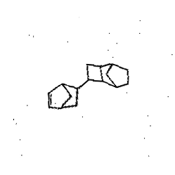 C1=CC2CC1CC2C1CC2C3CCC(C3)C21